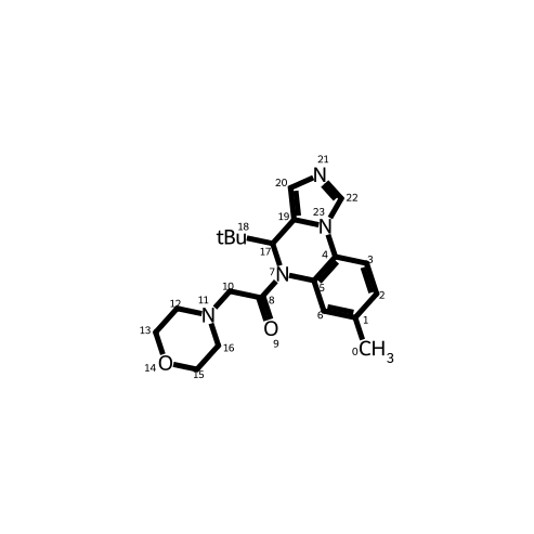 Cc1ccc2c(c1)N(C(=O)CN1CCOCC1)C(C(C)(C)C)c1cncn1-2